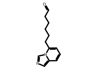 O=CCCCCCc1cccc2cncn12